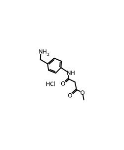 COC(=O)CC(=O)Nc1ccc(CN)cc1.Cl